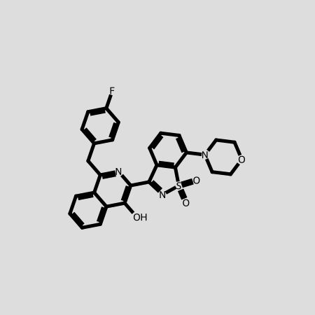 O=S1(=O)N=C(c2nc(Cc3ccc(F)cc3)c3ccccc3c2O)c2cccc(N3CCOCC3)c21